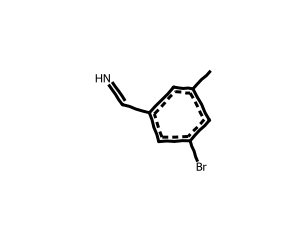 Cc1cc(Br)cc(C=N)c1